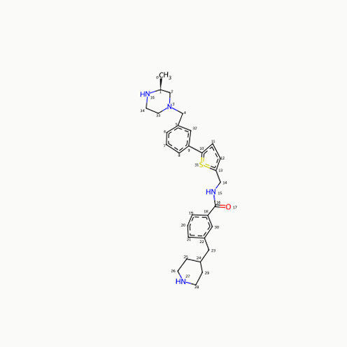 C[C@H]1CN(Cc2cccc(-c3ccc(CNC(=O)c4cccc(CC5CCNCC5)c4)s3)c2)CCN1